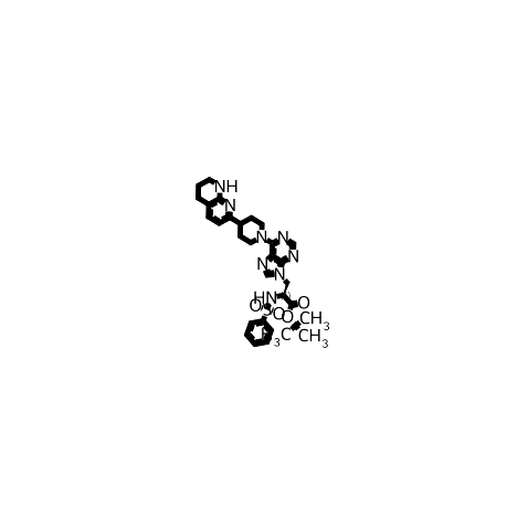 CC(C)(C)OC(=O)[C@H](Cn1cnc2c(N3CCC(c4ccc5c(n4)NCCC5)CC3)ncnc21)NS(=O)(=O)c1ccccc1